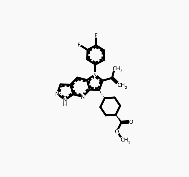 C=C(C)c1c([C@H]2CC[C@H](C(=O)OC)CC2)c2nc3[nH]ncc3cc2n1-c1ccc(F)c(F)c1